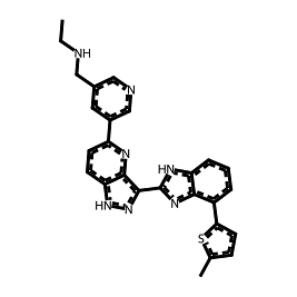 CCNCc1cncc(-c2ccc3[nH]nc(-c4nc5c(-c6ccc(C)s6)cccc5[nH]4)c3n2)c1